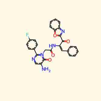 Nc1cnc(-c2ccc(F)cc2)n(CC(=O)NC(=Cc2ccccc2)C(=O)c2nc3ccccc3o2)c1=O